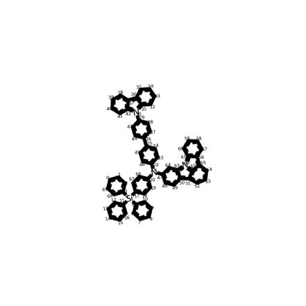 c1ccc([Si](c2ccccc2)(c2ccccc2)c2ccc(N(c3ccc(-c4ccc(-n5c6ccccc6c6ccccc65)cc4)cc3)c3ccc4c5cccc6c7ccccc7n(c4c3)c65)cc2)cc1